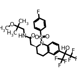 COC(C)(C)CNC(=O)C[C@@H]1CCc2cc(C(O)(C(F)(F)F)C(F)(F)F)ccc2N1S(=O)(=O)c1ccc(F)cc1